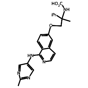 Cc1ncc(Nc2nccc3cc(OCC(C)(NC(=O)O)C(C)C)ccc23)cn1